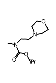 CC(C)OC(=O)N(C)CCN1CCOCC1